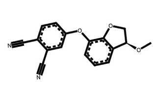 CO[C@@H]1COc2c(Oc3ccc(C#N)c(C#N)c3)cccc21